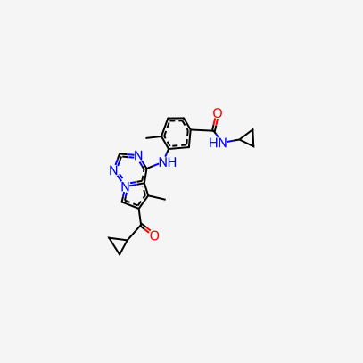 Cc1ccc(C(=O)NC2CC2)cc1Nc1ncnn2cc(C(=O)C3CC3)c(C)c12